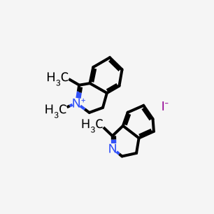 CC1=NCCc2ccccc21.CC1=[N+](C)CCc2ccccc21.[I-]